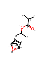 CC(C)OC(=O)C(C)C.c1cc2oc1C2